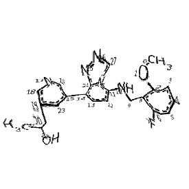 COc1cccc(F)c1CNc1ccc(-c2cncc(C(C)O)c2)c2nncn12